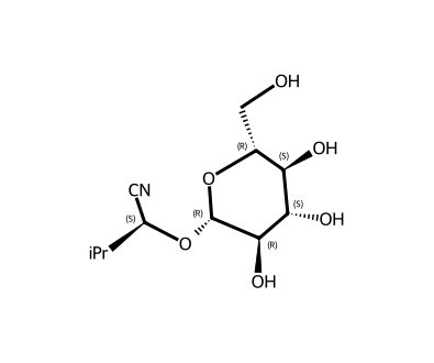 CC(C)[C@@H](C#N)O[C@@H]1O[C@H](CO)[C@@H](O)[C@H](O)[C@H]1O